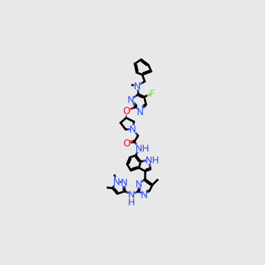 Cc1cnc(Nc2cc(C)n(C)n2)nc1-c1c[nH]c2c(NC(=O)CN3CC[C@H](Oc4ncc(F)c(N(C)Cc5ccccc5)n4)C3)cccc12